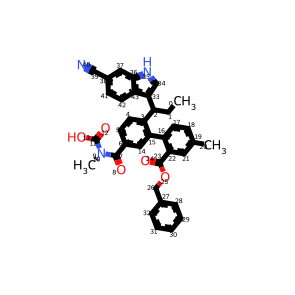 CCC(c1ccc(C(=O)N(C)C(=O)O)cc1-c1ccc(C)cc1C(=O)OCc1ccccc1)c1c[nH]c2cc(C#N)ccc12